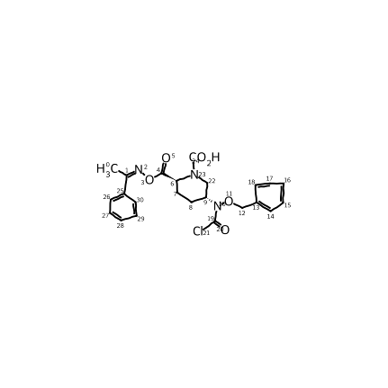 CC(=NOC(=O)[C@@H]1CC[C@@H](N(OCc2ccccc2)C(=O)Cl)CN1C(=O)O)c1ccccc1